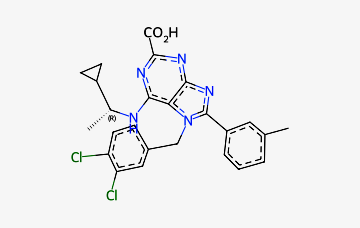 Cc1cccc(-c2nc3nc(C(=O)O)nc(N[C@H](C)C4CC4)c3n2Cc2ccc(Cl)c(Cl)c2)c1